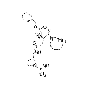 Cl.N=C(N)N1CCC[C@@H](CNC(=O)C[C@H](NC(=O)OCc2ccccc2)C(=O)N2CCCCCC2)C1